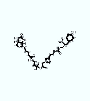 CC(Cn1cc(CCNC(=O)NC[C@H](Cc2ccc(O)cc2)N(C)C)nn1)OC(C)(C)CCNC(=O)CCCC[C@H]1SC[C@@H]2NC(=O)N[C@@H]21